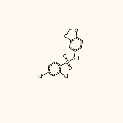 O=S(=O)(Nc1ccc2c(c1)OCO2)c1ccc(Cl)cc1Cl